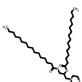 CCCCCCCCCCCCCCCC(=O)OCC(CN1CCSCC1)OC(=O)CCCCCCCCCCCCCCC